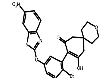 CCc1ccc(Oc2nc3ccc([N+](=O)[O-])cc3s2)cc1C1=C(O)CC2(CCOCC2)CC1=O